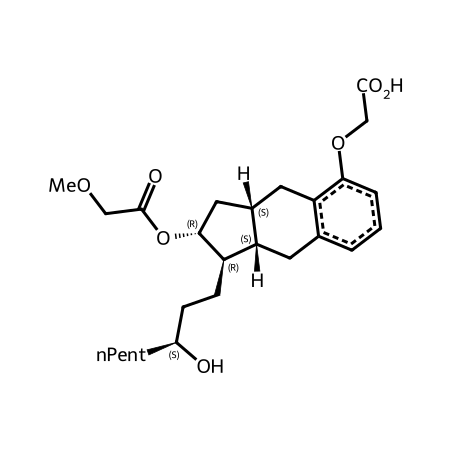 CCCCC[C@H](O)CC[C@@H]1[C@H]2Cc3cccc(OCC(=O)O)c3C[C@H]2C[C@H]1OC(=O)COC